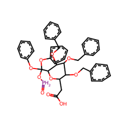 O=[PH2]OC(Oc1ccccc1)(Oc1ccccc1)C1OC(CC(=O)O)C(OCc2ccccc2)C(OCc2ccccc2)C1OCc1ccccc1